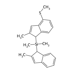 CSc1cccc2c1C=C(C)C2[Si](C)(C)C1C(C)=Cc2ccccc21